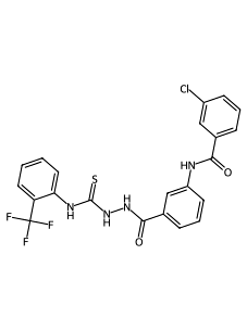 O=C(NNC(=S)Nc1ccccc1C(F)(F)F)c1cccc(NC(=O)c2cccc(Cl)c2)c1